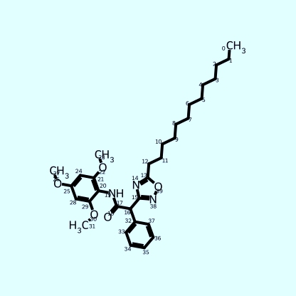 CCCCCCCCCCCCCc1nc(C(C(=O)Nc2c(OC)cc(OC)cc2OC)c2ccccc2)no1